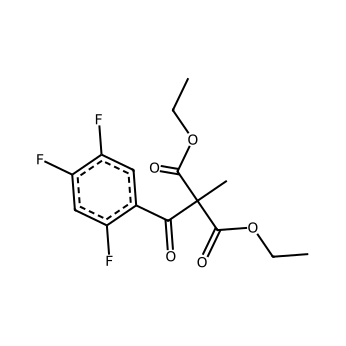 CCOC(=O)C(C)(C(=O)OCC)C(=O)c1cc(F)c(F)cc1F